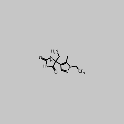 Cc1c(C2(CN)NC(=O)NC2=O)cnn1CC(F)(F)F